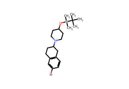 CC(C)(C)[Si](C)(C)OC1CCN(C2CCc3cc(Br)ccc3C2)CC1